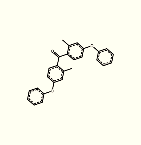 Cc1cc(Oc2ccccc2)ccc1C(=O)c1ccc(Oc2ccccc2)cc1C